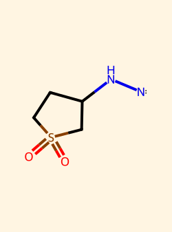 [N]NC1CCS(=O)(=O)C1